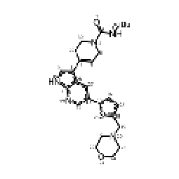 CCC(C)NC(=O)N1CC=C(c2c[nH]c3ncc(-c4ccc(CN5CCOCC5)s4)cc23)CC1